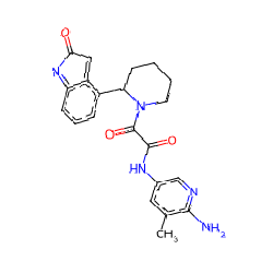 Cc1cc(NC(=O)C(=O)N2CCCCC2c2cccc3c2=CC(=O)N=3)cnc1N